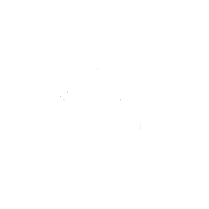 CC(C)(C)c1cc(F)c(C#N)c(F)c1